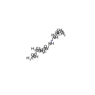 CCN(CCCNC/C=C/CNCCCN(CC)C(C)(C)C)C(=O)OCCSC(C)(C)SCCOC(=O)NC